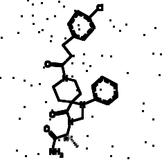 C[C@H](C(N)=O)N1CN(c2ccccc2)C2(CCN(C(=O)[CH]Cc3ccc(Cl)cc3)CC2)C1=O